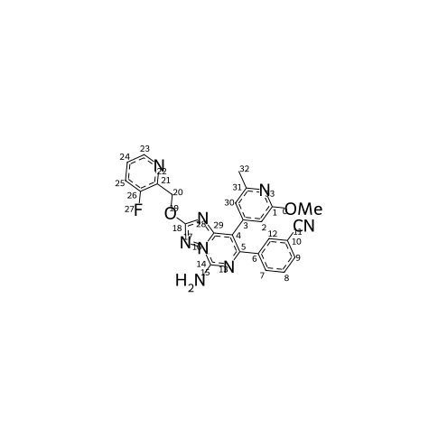 COc1cc(-c2c(-c3cccc(C#N)c3)nc(N)n3nc(OCc4ncccc4F)nc23)cc(C)n1